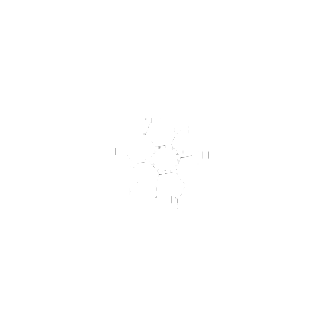 CCOc1c(CC(C)C)c(O)c(O)c(CC(C)C)c1OCC